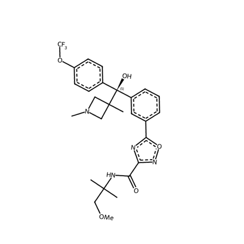 COCC(C)(C)NC(=O)c1noc(-c2cccc([C@@](O)(c3ccc(OC(F)(F)F)cc3)C3(C)CN(C)C3)c2)n1